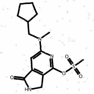 CN(CC1CCCC1)c1cc2c(c(OS(C)(=O)=O)n1)CNC2=O